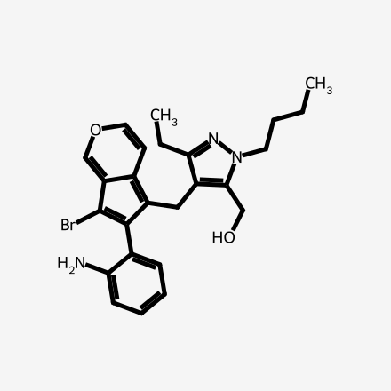 CCCCn1nc(CC)c(Cc2c3ccocc-3c(Br)c2-c2ccccc2N)c1CO